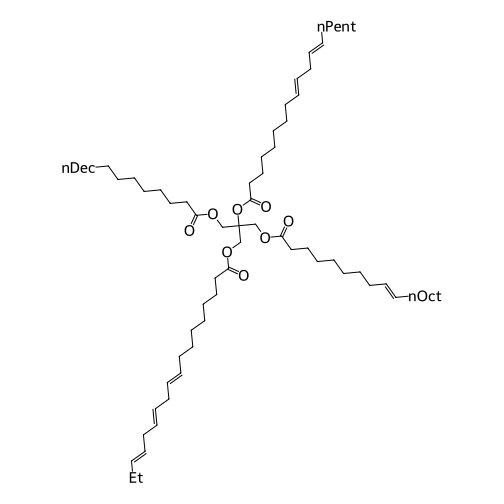 CC/C=C/C/C=C/C/C=C/CCCCCCCC(=O)OCC(COC(=O)CCCCCCC/C=C/CCCCCCCC)(COC(=O)CCCCCCCCCCCCCCCCC)OC(=O)CCCCCCC/C=C/C/C=C/CCCCC